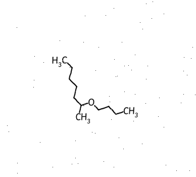 CCCCC[C](C)OCCCC